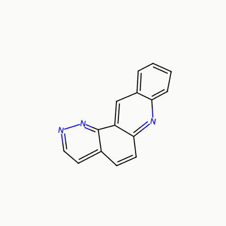 c1ccc2nc3ccc4ccnnc4c3cc2c1